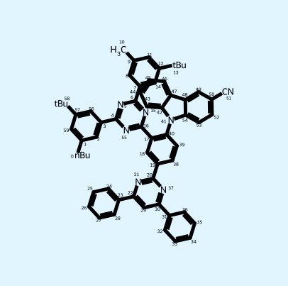 CCCCc1cc(-c2nc(-c3cc(C)cc(C(C)(C)C)c3)nc(-c3cc(-c4nc(-c5ccccc5)cc(-c5ccccc5)n4)ccc3-n3c4ccccc4c4cc(C#N)ccc43)n2)cc(C(C)(C)C)c1